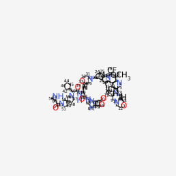 CO[C@@H](C)c1ncc(N2CCN3CCOC[C@@H]3C2)cc1-c1c2c3cc(ccc3n1CC(F)(F)F)N1CCO[C@@H](C[C@H](NC(=O)C(C3CCCC3)N3CC[C@]4(CCN(C(=O)[C@H]5CN5)C4)C3)C(=O)N3CCC[C@H](N3)C(=O)OCC(C)(C)C2)C1